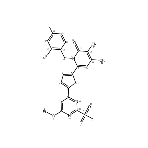 CCOc1cc(-c2ccc(-c3cc(C(F)(F)F)c(C#N)c(=O)n3Cc3ccc(F)cc3F)s2)nc(S(C)(=O)=O)n1